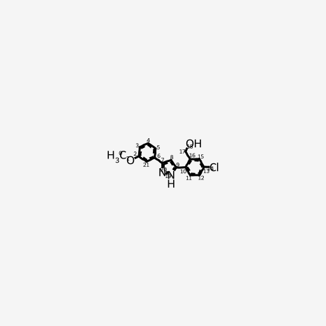 COc1cccc(-c2cc(-c3ccc(Cl)cc3CO)[nH]n2)c1